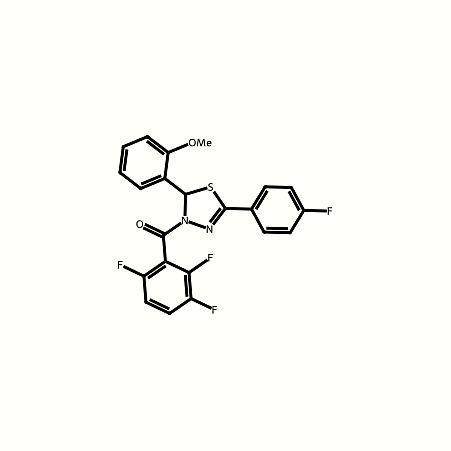 COc1ccccc1C1SC(c2ccc(F)cc2)=NN1C(=O)c1c(F)ccc(F)c1F